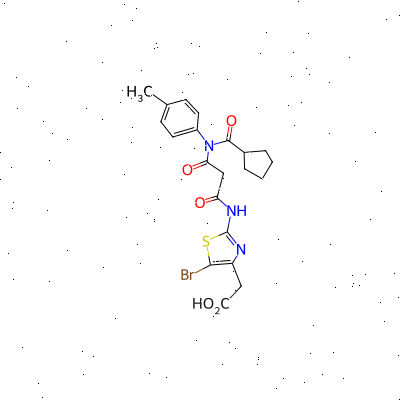 Cc1ccc(N(C(=O)CC(=O)Nc2nc(CC(=O)O)c(Br)s2)C(=O)C2CCCC2)cc1